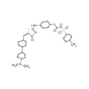 CN(C)c1ccc(-c2ccc(C=C3SC(Nc4ccc(CC(=O)NS(=O)(=O)c5ccc(C(F)(F)F)cc5)cc4)=NC3=O)cc2)cc1